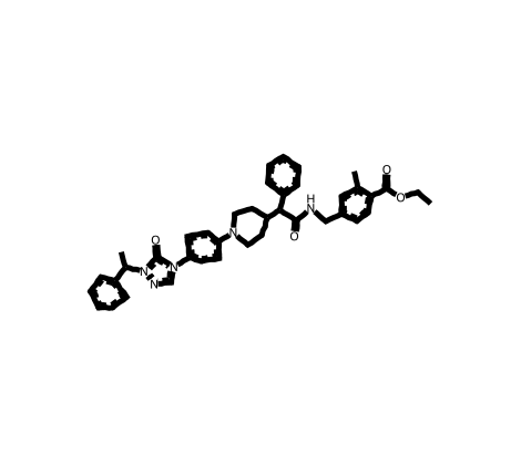 CCOC(=O)c1ccc(CNC(=O)C(c2ccccc2)C2CCN(c3ccc(-n4cnn(C(C)c5ccccc5)c4=O)cc3)CC2)cc1C